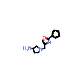 NC1CCN(Cc2coc(-c3ccccc3)n2)C1